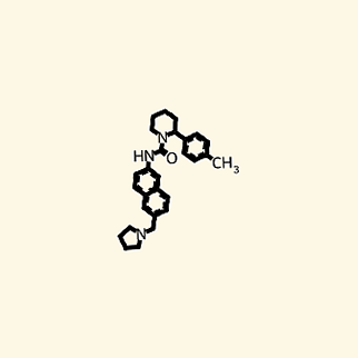 Cc1ccc(C2CCCCN2C(=O)Nc2ccc3cc(CN4CCCC4)ccc3c2)cc1